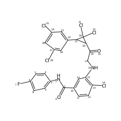 O=C(Nc1ccc(F)cc1)c1ccc(Cl)c(NCC(=O)C2C(c3cc(Cl)cc(Cl)c3)C2(Cl)Cl)c1